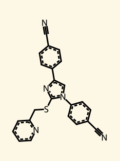 N#Cc1ccc(-c2cn(-c3ccc(C#N)cc3)c(SCc3ccccn3)n2)cc1